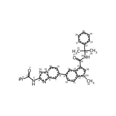 CC(C)C(=O)Nc1nc2cc(-c3ccc4c(c3)c(C(=O)NC(C)(C)c3ccccc3)cn4C)ccn2n1